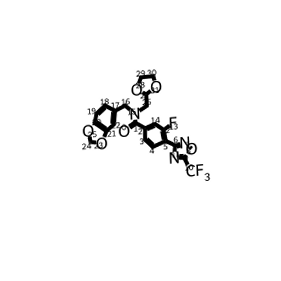 O=C(c1ccc(-c2noc(C(F)(F)F)n2)c(F)c1)N(Cc1ccc2c(c1)OCO2)CC1OCCO1